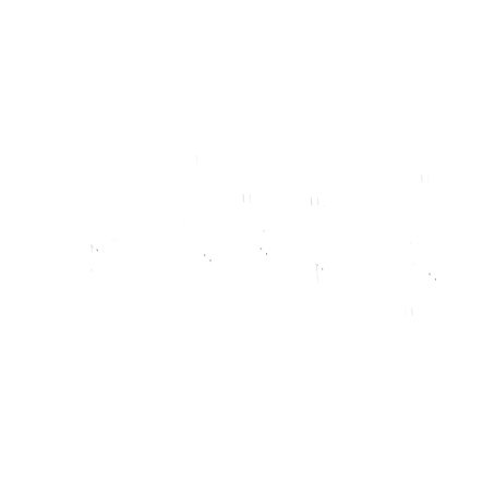 C=C1SCCN1C(=O)C1CCC=C(C(=O)NCCN(CCNC(=O)C2=CCC[C@@H](C(=O)N3CCSC3S)C2OCCCC)C(=O)OC(C)(C)C)[C@H]1OCCCC